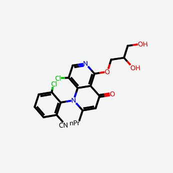 CCCc1cc(=O)c2c(OCC(O)CO)ncc(Cl)c2n1-c1c(Cl)cccc1C#N